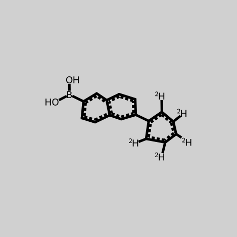 [2H]c1c([2H])c([2H])c(-c2ccc3cc(B(O)O)ccc3c2)c([2H])c1[2H]